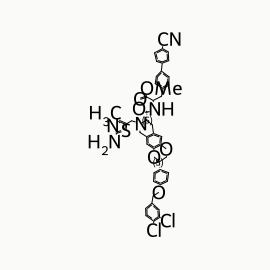 COC(=O)C(Cc1ccc(-c2ccc(C#N)cc2)cc1)NC(=O)[C@@H]1Cc2cc3c(cc2CN1Cc1sc(N)nc1C)O[C@@H](c1ccc(OCc2ccc(Cl)c(Cl)c2)cc1)CO3